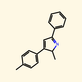 Cc1ccc(C2=CC(c3ccccc3)=NC2C)cc1